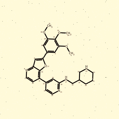 COc1cc(-c2cc3nccc(-c4ccnc(NCC5CCCNC5)c4)c3o2)cc(OC)c1OC